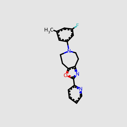 Cc1cc(F)cc(N2CCc3nc(-c4ccccn4)oc3CC2)c1